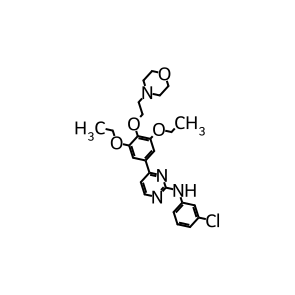 CCOc1cc(-c2ccnc(Nc3cccc(Cl)c3)n2)cc(OCC)c1OCCN1CCOCC1